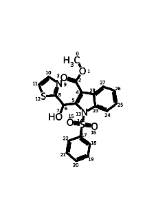 COC(=O)c1c(C(O)c2nccs2)n(S(=O)(=O)c2ccccc2)c2ccccc12